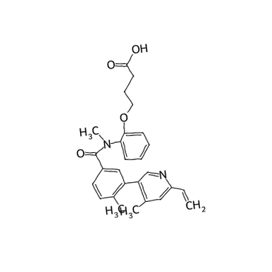 C=Cc1cc(C)c(-c2cc(C(=O)N(C)c3ccccc3OCCCC(=O)O)ccc2C)cn1